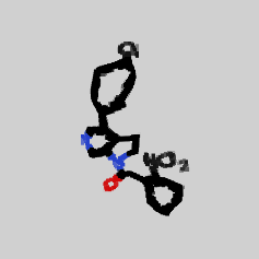 N#Cc1ccc(-c2cncc3c2CCN3C(=O)c2ccccc2[N+](=O)[O-])cc1